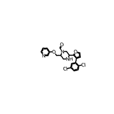 O=CN1CC(c2occc2-c2cc(Cl)ccc2Cl)NCC1COc1cccnc1